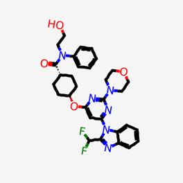 O=C([C@H]1CC[C@H](Oc2cc(-n3c(C(F)F)nc4ccccc43)nc(N3CCOCC3)n2)CC1)N(CCO)c1ccccc1